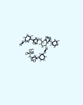 COS(=O)(=O)Cc1noc(-c2cccc(C#N)c2)n1.N#Cc1cccc(-c2nc(CC3CCCn4c(-c5ccncc5)nnc43)no2)c1